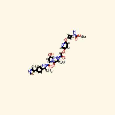 Cc1ncsc1-c1ccc([C@H](C)NC(=O)[C@@H]2C[C@@H](O)CN2C(=O)[C@@H](NC(=O)COc2ccc(O[C@H]3C[C@@H](NC(=O)OC(C)(C)C)C3)nc2)C(C)(C)C)cc1